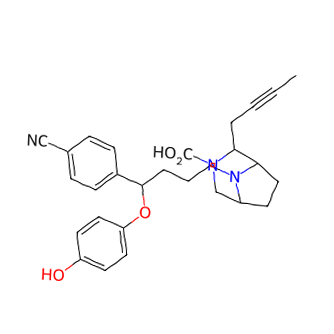 CC#CCC1C2CCC(CN1C(=O)O)N2CCCC(Oc1ccc(O)cc1)c1ccc(C#N)cc1